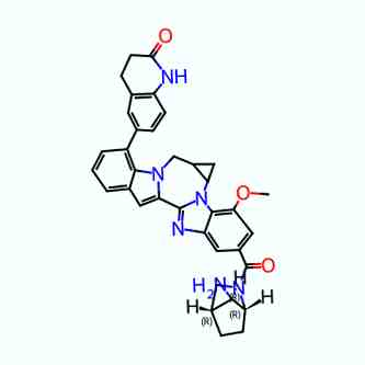 COc1cc(C(=O)N2C[C@H]3CC[C@@H]2[C@@H]3N)cc2nc(-c3cc4cccc(-c5ccc6c(c5)CCC(=O)N6)c4n3CC3CC3)n(C)c12